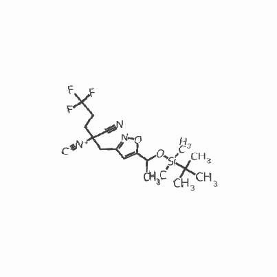 [C-]#[N+]C(C#N)(CCC(F)(F)F)Cc1cc(C(C)O[Si](C)(C)C(C)(C)C)on1